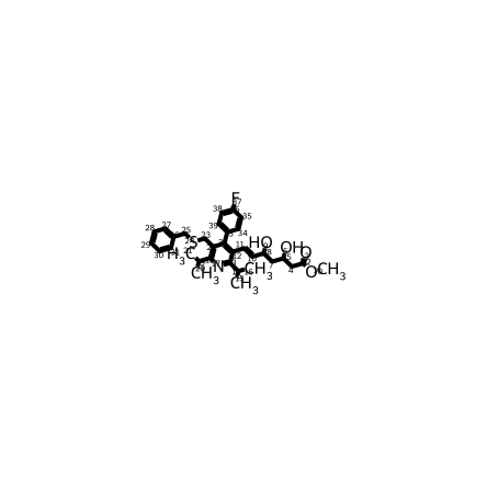 COC(=O)CC(O)CC(O)C=Cc1c(C(C)C)nc(C(C)C)c(CSCc2ccccc2)c1-c1ccc(F)cc1